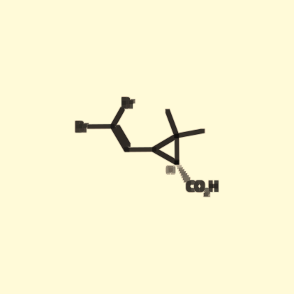 CC1(C)C(C=C(Br)Br)[C@H]1C(=O)O